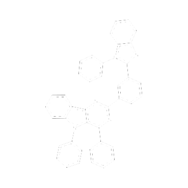 c1ccc(-c2nc(-c3cccc(-c4nc5ccccc5n4-c4ccccc4)c3)nc3c4ccccc4n(-c4ccccc4)c23)cc1